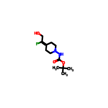 CC(C)(C)OC(=O)NN1CCC(=C(F)CO)CC1